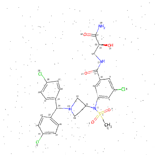 CS(=O)(=O)N(c1cc(Cl)cc(C(=O)NC[C@H](O)C(N)=O)c1)C1CN(C(c2ccc(Cl)cc2)c2ccc(Cl)cc2)C1